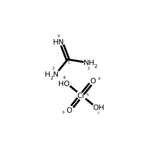 N=C(N)N.[O]=[Cr](=[O])([OH])[OH]